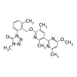 COc1cc(C)nc(-c2cc(C)c(OCc3c(C)cccc3-n3nnn(C)c3=O)nc2C)n1